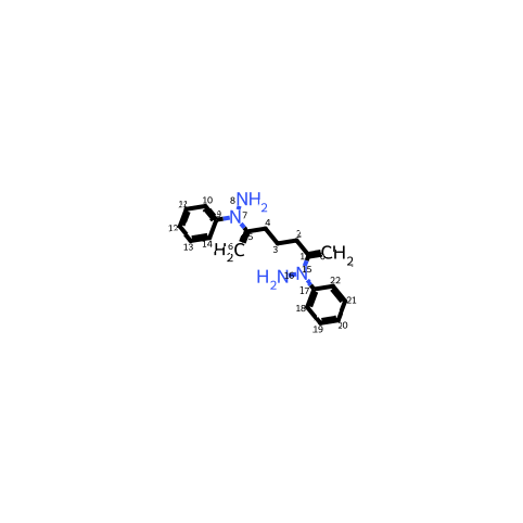 C=C(CCCC(=C)N(N)c1ccccc1)N(N)c1ccccc1